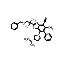 Cc1c(-c2ccccc2)c(N2CC[C@H](N(C)C)C2)c2oc(C(C)(C)COCc3ccccc3)nc2c1C#N